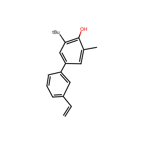 C=Cc1cc[c]c(-c2cc(C)c(O)c(C(C)(C)C)c2)c1